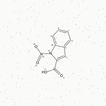 O=C(O)c1cc2ccccc2n1[N+](=O)[O-]